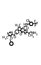 C=C(CN)c1nc2n(CC(=O)Nc3ccc(C(F)(F)F)cc3Cl)c3c(c(=O)n2n1)C1(CCN(C(=O)c2ncnc(C)c2OCc2ccccc2)CC1)CC3C